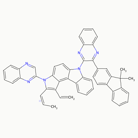 C=Cc1c(/C=C\C)n(-c2cnc3ccccc3n2)c2ccc3c(c4ccccc4n3-c3nc4ccccc4nc3-c3ccc4c(c3)C(C)(C)c3ccccc3-4)c12